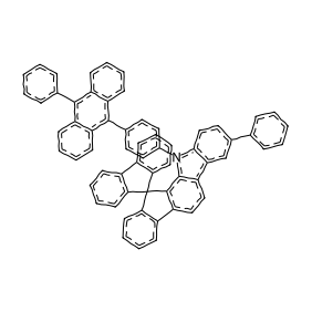 c1ccc(-c2ccc3c(c2)c2ccc4c(c2n3-c2ccc(-c3c5ccccc5c(-c5ccccc5)c5ccccc35)cc2)C2(c3ccccc3-c3ccccc32)c2ccccc2-4)cc1